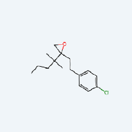 CCCC(C)(C)C1(CCc2ccc(Cl)cc2)CO1